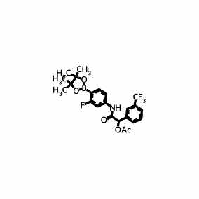 CC(=O)OC(C(=O)Nc1ccc(B2OC(C)(C)C(C)(C)O2)c(F)c1)c1cccc(C(F)(F)F)c1